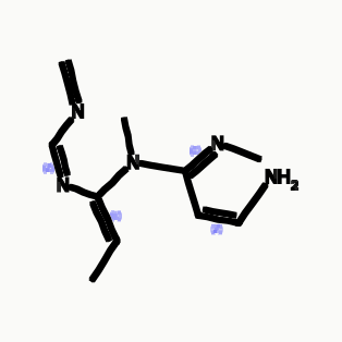 C=N/C=N\C(=C/C)N(C)C(/C=C\N)=N/C